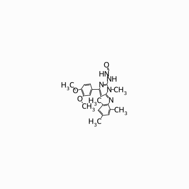 COc1ccc(-c2cc(=Nc3c(C)cc(C)cc3C)n(C)c(NNC=O)n2)cc1OC